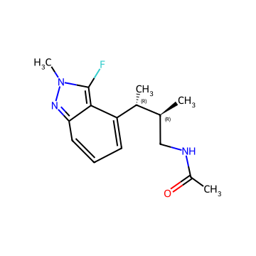 CC(=O)NC[C@H](C)[C@@H](C)c1cccc2nn(C)c(F)c12